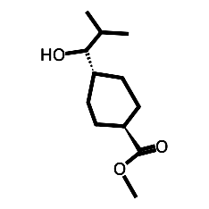 COC(=O)[C@H]1CC[C@H](C(O)C(C)C)CC1